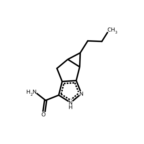 CCCC1C2Cc3c(n[nH]c3C(N)=O)C12